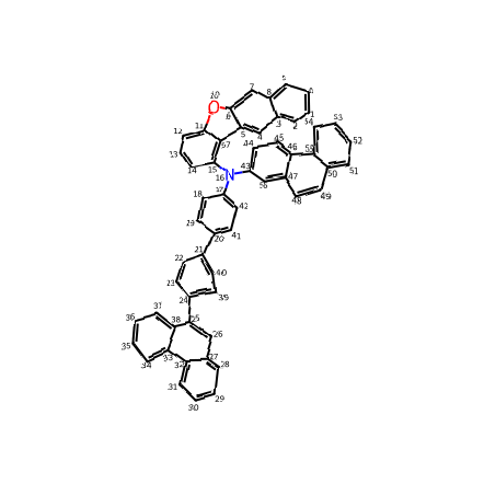 c1ccc2cc3c(cc2c1)oc1cccc(N(c2ccc(-c4ccc(-c5cc6ccccc6c6ccccc56)cc4)cc2)c2ccc4c(ccc5ccccc54)c2)c13